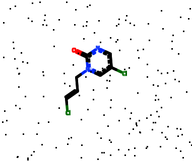 O=c1ncc(Cl)cn1CC=CCl